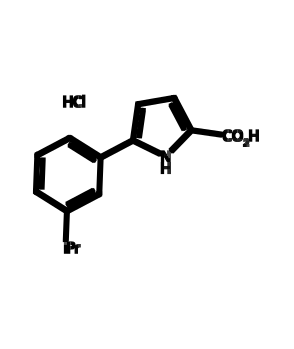 CC(C)c1cccc(-c2ccc(C(=O)O)[nH]2)c1.Cl